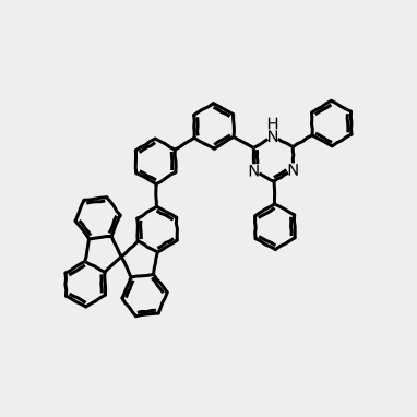 c1ccc(C2=NC(c3ccccc3)NC(c3cccc(-c4cccc(-c5ccc6c(c5)C5(c7ccccc7-c7ccccc75)c5ccccc5-6)c4)c3)=N2)cc1